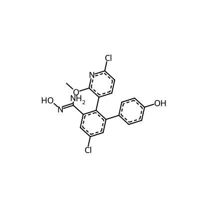 COc1nc(Cl)ccc1-c1c(/C(N)=N/O)cc(Cl)cc1-c1ccc(O)cc1